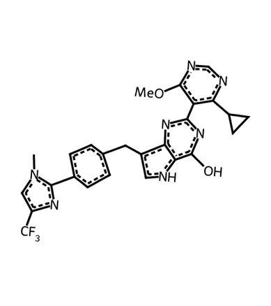 COc1ncnc(C2CC2)c1-c1nc(O)c2[nH]cc(Cc3ccc(-c4nc(C(F)(F)F)cn4C)cc3)c2n1